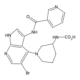 O=C(O)NC1CCCN(c2c(Br)cnc3[nH]cc(NC(=O)c4cccnc4)c23)C1